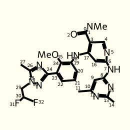 CNC(=O)c1cnc(Nc2cc(C)nc(C)n2)cc1Nc1cccc(-c2nc(C)n(CC(F)F)n2)c1OC